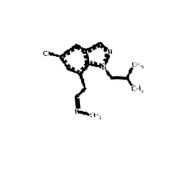 C/N=C\Cc1cc(Cl)cc2cnn(CC(C)C)c12